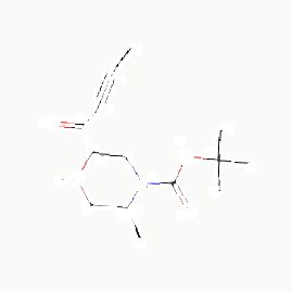 CC#CC(=O)[C@@H]1CN(C(=O)OC(C)(C)C)[C@@H](C)CO1